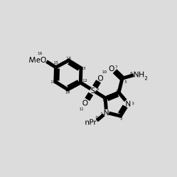 CCCn1cnc(C(N)=O)c1S(=O)(=O)c1ccc(OC)cc1